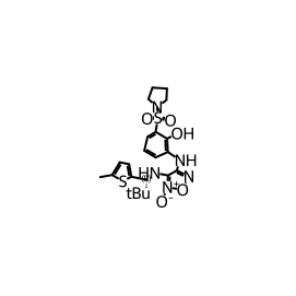 Cc1ccc([C@H](Nc2c(Nc3cccc(S(=O)(=O)N4CCCC4)c3O)no[n+]2[O-])C(C)(C)C)s1